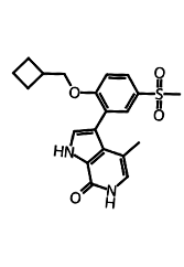 Cc1c[nH]c(=O)c2[nH]cc(-c3cc(S(C)(=O)=O)ccc3OCC3CCC3)c12